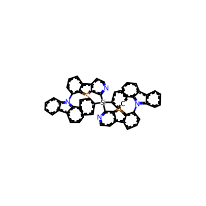 c1ccc([Si](c2ccccc2)(c2nccc3c2sc2c(-n4c5ccccc5c5ccccc54)cccc23)c2nccc3c2sc2c(-n4c5ccccc5c5ccccc54)cccc23)cc1